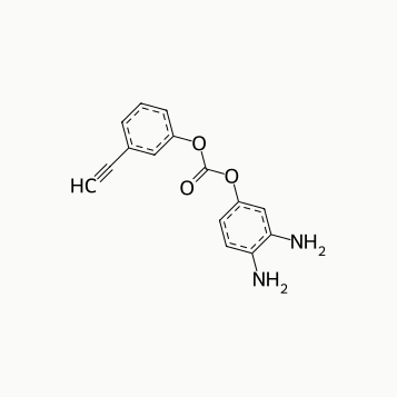 C#Cc1cccc(OC(=O)Oc2ccc(N)c(N)c2)c1